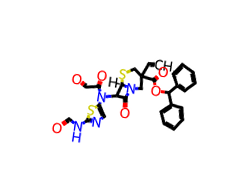 C=CC1(C(=O)OC(c2ccccc2)c2ccccc2)CS[C@@H]2C(N(C(=O)C=O)c3cnc(NC=O)s3)C(=O)N2C1